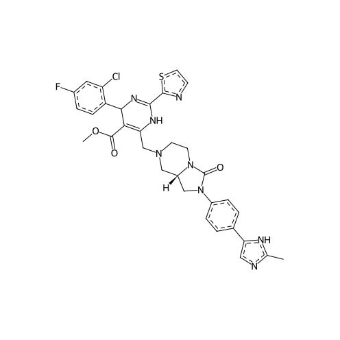 COC(=O)C1=C(CN2CCN3C(=O)N(c4ccc(-c5cnc(C)[nH]5)cc4)C[C@@H]3C2)NC(c2nccs2)=NC1c1ccc(F)cc1Cl